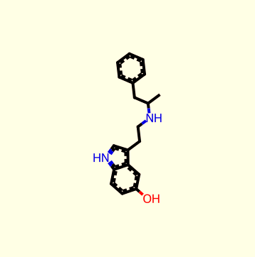 CC(Cc1ccccc1)NCCc1c[nH]c2ccc(O)cc12